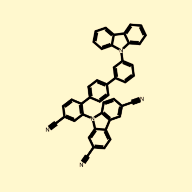 N#Cc1ccc(-c2ccc(-c3cccc(-n4c5ccccc5c5ccccc54)c3)cc2)c(-n2c3ccc(C#N)cc3c3ccc(C#N)cc32)c1